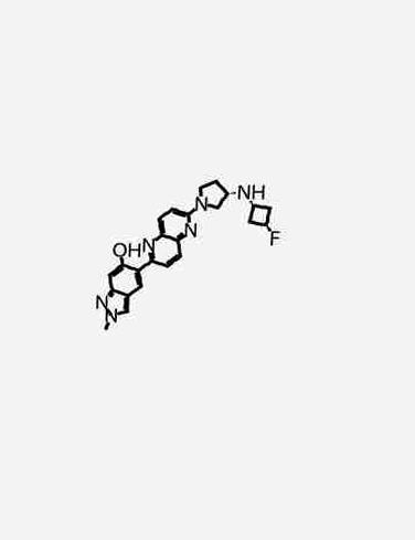 Cn1cc2cc(-c3ccc4nc(N5CC[C@H](N[C@H]6C[C@H](F)C6)C5)ccc4n3)c(O)cc2n1